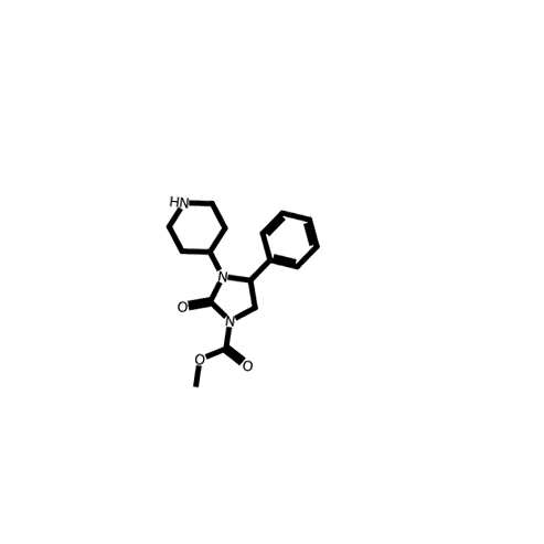 COC(=O)N1CC(c2ccccc2)N(C2CCNCC2)C1=O